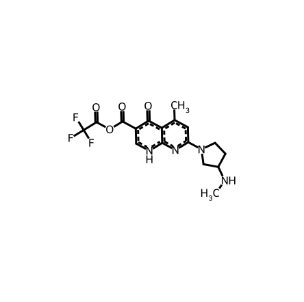 CNC1CCN(c2cc(C)c3c(=O)c(C(=O)OC(=O)C(F)(F)F)c[nH]c3n2)C1